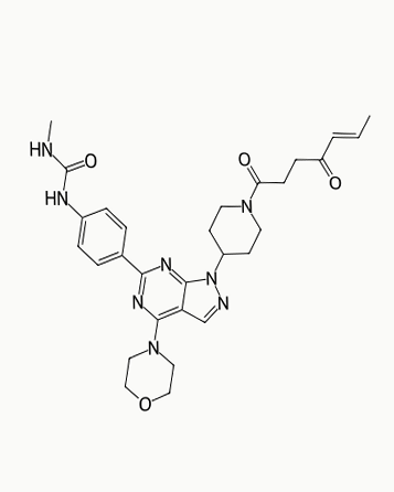 CC=CC(=O)CCC(=O)N1CCC(n2ncc3c(N4CCOCC4)nc(-c4ccc(NC(=O)NC)cc4)nc32)CC1